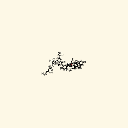 C/C=C(\CCC)CC(=O)NCC(=O)N[C@@H](CO)C(=O)N[C@@H](CCCCN)C(=O)Nc1cc(C(=O)O[C@]2(C(=O)SCF)[C@H](C)C[C@H]3[C@@H]4C[C@H](F)C5=CC(=O)C=C[C@]5(C)[C@@]4(F)[C@@H](O)C[C@@]32C)ccc1F